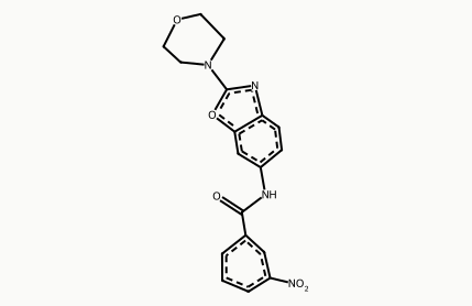 O=C(Nc1ccc2nc(N3CCOCC3)oc2c1)c1cccc([N+](=O)[O-])c1